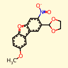 COc1ccc2oc3cc([N+](=O)[O-])c(C4OCCO4)cc3c2c1